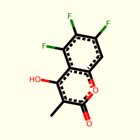 Cc1c(O)c2c(F)c(F)c(F)cc2oc1=O